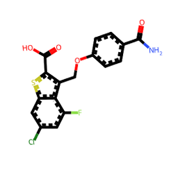 NC(=O)c1ccc(OCc2c(C(=O)O)sc3cc(Cl)cc(F)c23)cc1